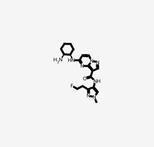 Cn1cc(NC(=O)c2cnn3ccc(N[C@@H]4CCCC[C@@H]4N)nc23)c(CCF)n1